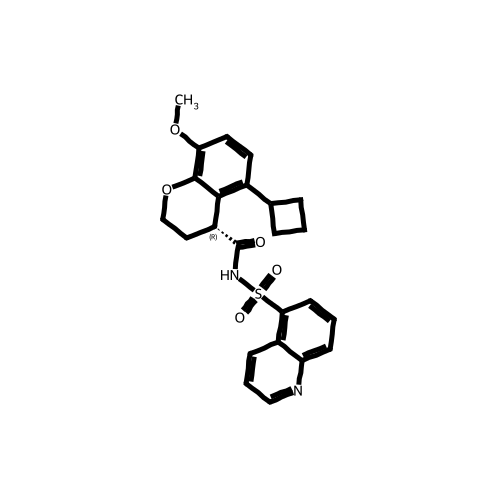 COc1ccc(C2CCC2)c2c1OCC[C@H]2C(=O)NS(=O)(=O)c1cccc2ncccc12